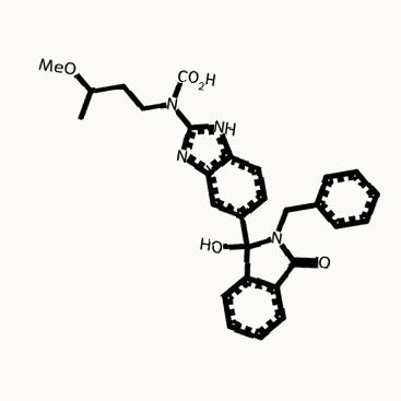 COC(C)CCN(C(=O)O)c1nc2cc(C3(O)c4ccccc4C(=O)N3Cc3ccccc3)ccc2[nH]1